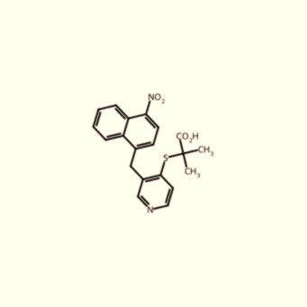 CC(C)(Sc1ccncc1Cc1ccc([N+](=O)[O-])c2ccccc12)C(=O)O